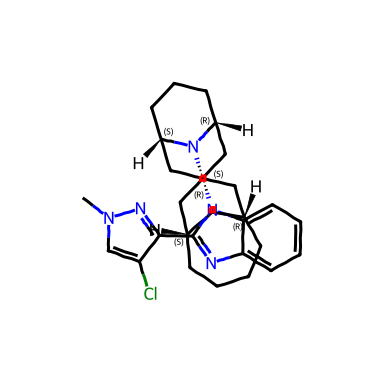 Cn1cc(Cl)c(-c2nc3ccccc3n2[C@H]2C[C@H]3CCC[C@@H](C2)N3[C@@H]2C[C@@H]3CCCC[C@@H](C3)C2)n1